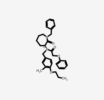 CCCOc1ccc(CN(C(=O)COc2ccccc2)[C@H]2CCCCN(Cc3ccccc3)C2=O)cc1C